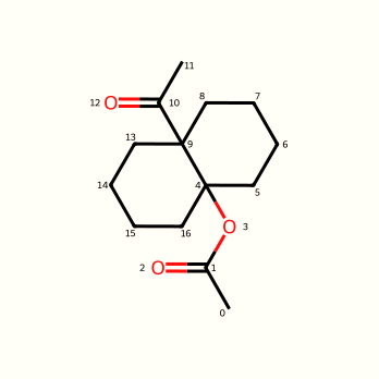 CC(=O)OC12CCCCC1(C(C)=O)CCCC2